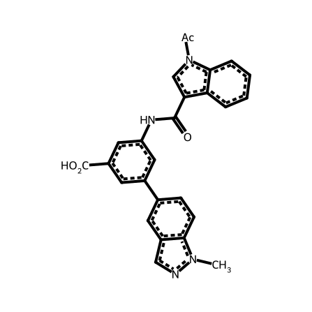 CC(=O)n1cc(C(=O)Nc2cc(C(=O)O)cc(-c3ccc4c(cnn4C)c3)c2)c2ccccc21